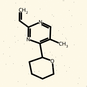 C=Cc1ncc(C)c(C2CCCCO2)n1